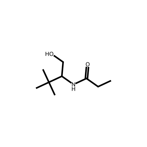 CCC(=O)NC(CO)C(C)(C)C